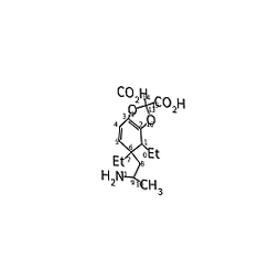 CCC1C2=C(C=CC1(CC)CC(C)N)OC(C(=O)O)(C(=O)O)O2